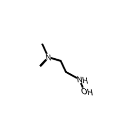 CN(C)CCNO